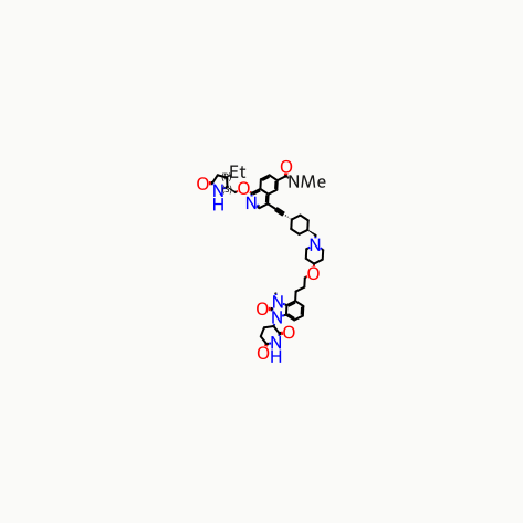 CC[C@@H]1CC(=O)N[C@@H]1COc1ncc(C#C[C@H]2CC[C@H](CN3CCC(OCCCc4cccc5c4n(C)c(=O)n5C4CCC(=O)NC4=O)CC3)CC2)c2cc(C(=O)NC)ccc12